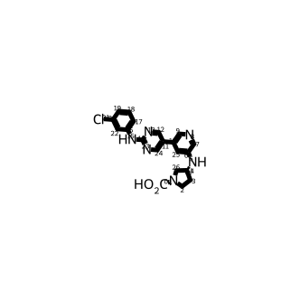 O=C(O)N1CC[C@H](Nc2cncc(-c3cnc(Nc4cccc(Cl)c4)nc3)c2)C1